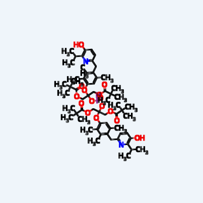 Cc1cc(OC(COC(=O)C(C)(C)C)(COC(=O)C(C)(C)C)O[PH](=O)OC(COC(=O)C(C)(C)C)(COC(=O)C(C)(C)C)Oc2cc(C)c(Cc3ccc(O)c(C(C)C)n3)c(C)c2C)c(C)c(C)c1Cc1ccc(O)c(C(C)C)n1